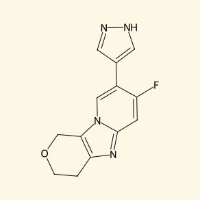 Fc1cc2nc3c(n2cc1-c1cn[nH]c1)COCC3